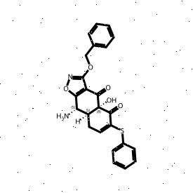 N[C@@H]1c2onc(OCc3ccccc3)c2C(=O)[C@@]2(O)C(=O)C(Sc3ccccc3)=CC[C@@H]12